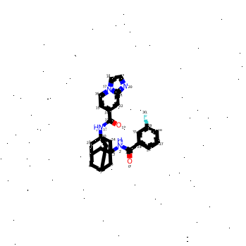 O=C(NC12CC3CC(C1)CC(NC(=O)c1ccn4ccnc4c1)(C3)C2)c1cccc(F)c1